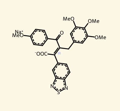 COc1ccc(C(=O)/C(Cc2cc(OC)c(OC)c(OC)c2)=C(\C(=O)[O-])c2ccc3nsnc3c2)cc1.[Na+]